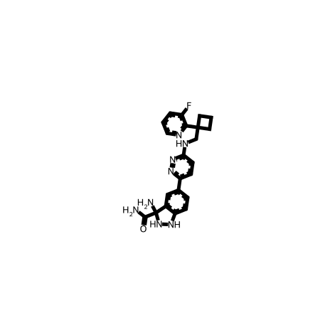 NC(=O)C1(N)NNc2ccc(-c3ccc(NCC4(c5ncccc5F)CCC4)nn3)cc21